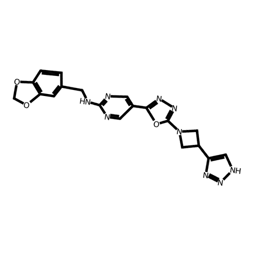 c1cc2c(cc1CNc1ncc(-c3nnc(N4CC(c5c[nH]nn5)C4)o3)cn1)OCO2